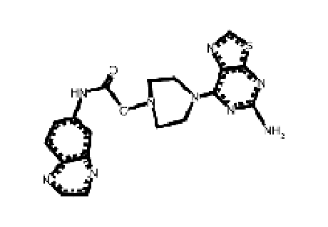 Nc1nc(N2CCN(OC(=O)Nc3ccc4nccnc4c3)CC2)c2ncsc2n1